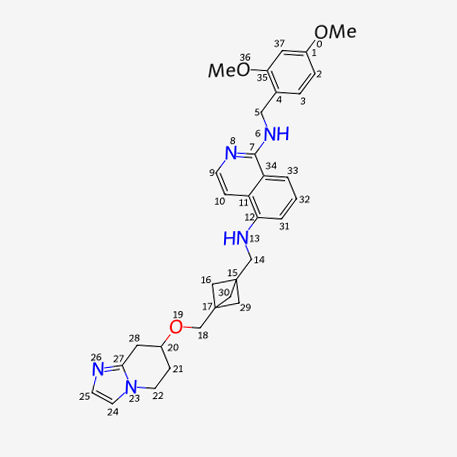 COc1ccc(CNc2nccc3c(NCC45CC(COC6CCn7ccnc7C6)(C4)C5)cccc23)c(OC)c1